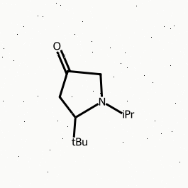 CC(C)N1CC(=O)CC1C(C)(C)C